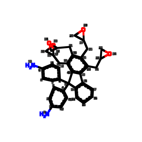 Nc1ccc(C2(c3ccc(N)cc3)c3ccccc3-c3c(CC4CO4)c(CC4CO4)c(CC4CO4)c(CC4CO4)c32)cc1